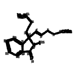 CNCCC1(CCCCOC)c2ccccc2C(=O)N1F